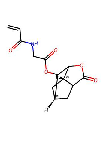 C=CC(=O)NCC(=O)OC1C2OC(=O)C3C[C@@H]1C[C@@H]32